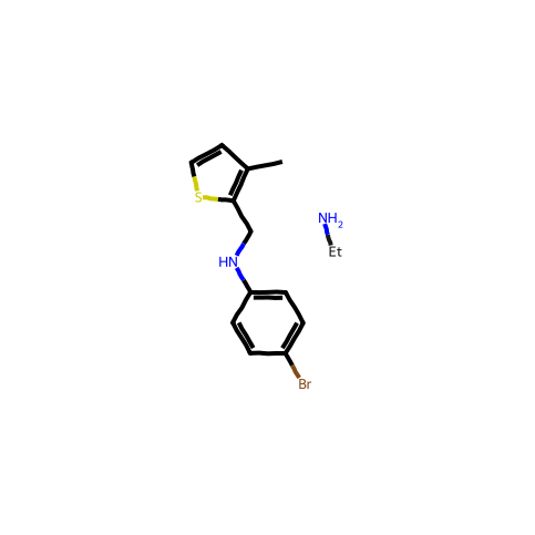 CCN.Cc1ccsc1CNc1ccc(Br)cc1